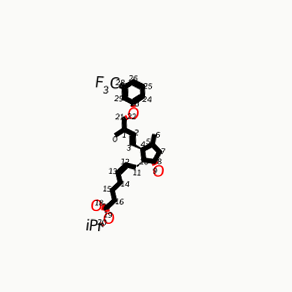 CC(/C=C/[C@H]1C(C)CC(=O)[C@@H]1C/C=C\CCCC(=O)OC(C)C)COc1cccc(C(F)(F)F)c1